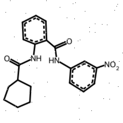 O=C(Nc1cccc([N+](=O)[O-])c1)c1ccccc1NC(=O)C1CCCCC1